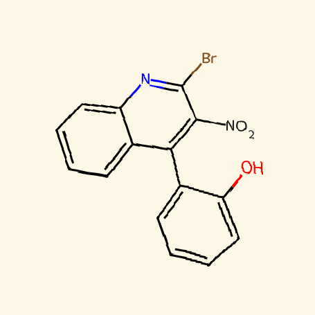 O=[N+]([O-])c1c(Br)nc2ccccc2c1-c1ccccc1O